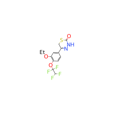 CCOc1cc(C2=NNC(=O)SC2)ccc1OC(F)(F)C(F)F